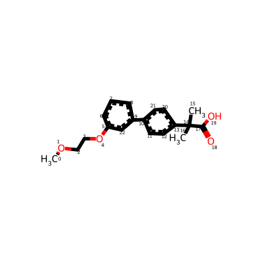 COCCOc1cccc(-c2ccc(C(C)(C)C(=O)O)cc2)c1